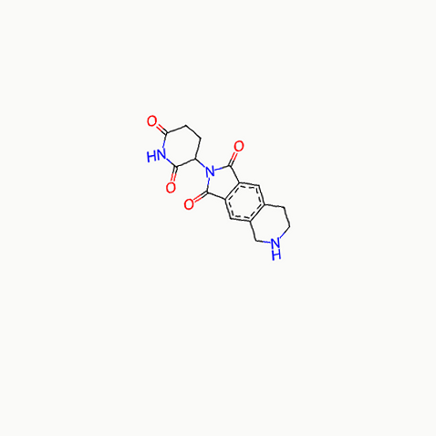 O=C1CCC(N2C(=O)c3cc4c(cc3C2=O)CNCC4)C(=O)N1